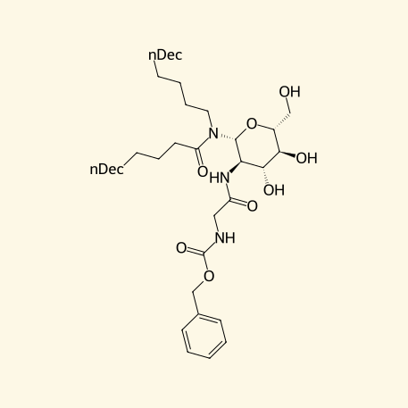 CCCCCCCCCCCCCCN(C(=O)CCCCCCCCCCCCC)[C@@H]1O[C@H](CO)[C@@H](O)[C@H](O)[C@H]1NC(=O)CNC(=O)OCc1ccccc1